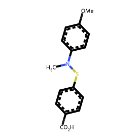 COc1ccc(N(C)Sc2ccc(C(=O)O)cc2)cc1